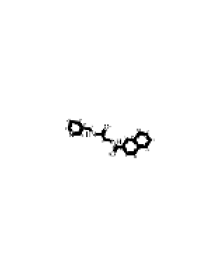 O=C(CNC(=O)c1ccc2ccccc2c1)NCc1cccnc1